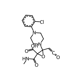 CNC(=O)C1(C(=O)O)OC1(C=C=O)N1CCN(c2ccccc2Cl)CC1